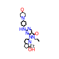 C=CCn1c(=O)c2cnc(Nc3ccc(N4CCC(=O)CC4)cc3)nc2n1-c1ccc2c(n1)[C@@](O)(CC)CC2